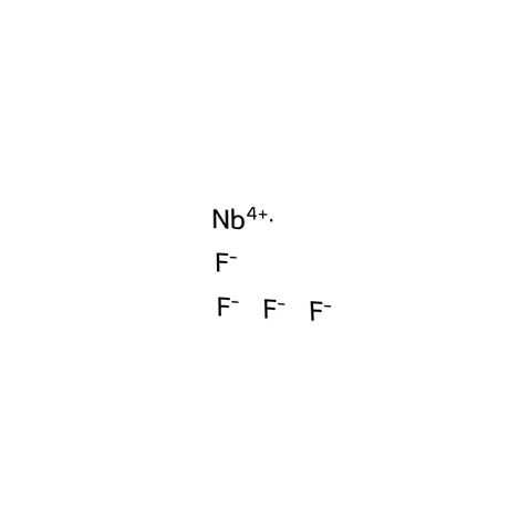 [F-].[F-].[F-].[F-].[Nb+4]